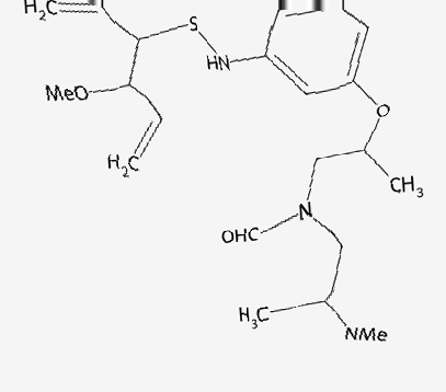 C=CC(OC)C(C=C)SNc1cccc(OC(C)CN(C=O)CC(C)NC)c1